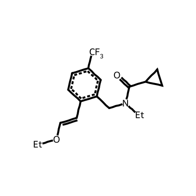 CCOC=Cc1ccc(C(F)(F)F)cc1CN(CC)C(=O)C1CC1